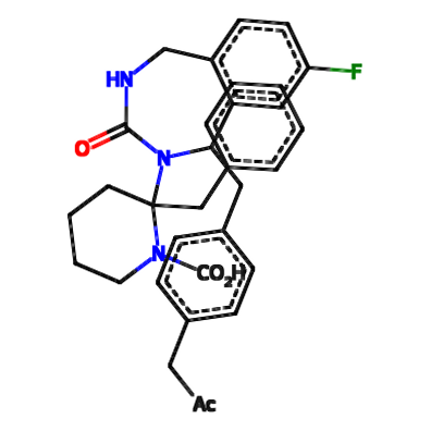 CC(=O)Cc1ccc(CC2c3cc(F)ccc3CNC(=O)N2C2(Cc3ccccc3)CCCCN2C(=O)O)cc1